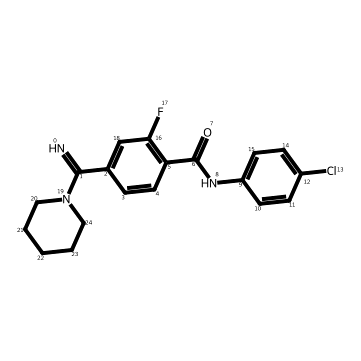 N=C(c1ccc(C(=O)Nc2ccc(Cl)cc2)c(F)c1)N1CCCCC1